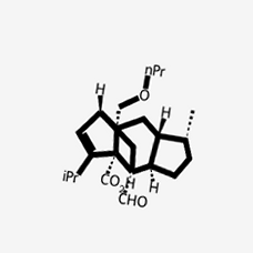 CCCOC[C@@]12C[C@@H]3[C@H](C)CC[C@H]3[C@]3(C=O)C[C@@H]1C=C(C(C)C)[C@@]23C(=O)O